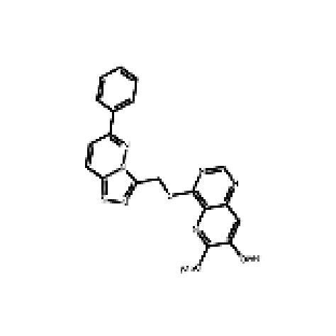 COc1cc2ncnc(OCc3nnc4ccc(-c5ccccc5)nn34)c2nc1OC